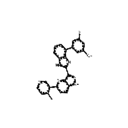 Cc1ccncc1-c1ccc2[nH]nc(-c3nc4c(-c5cc(O)cc(F)c5)cccc4[nH]3)c2n1